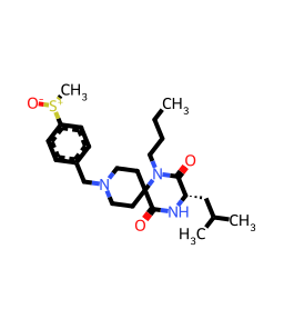 CCCCN1C(=O)[C@H](CC(C)C)NC(=O)C12CCN(Cc1ccc([S+](C)[O-])cc1)CC2